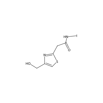 O=C(Cc1nc(CO)cs1)NI